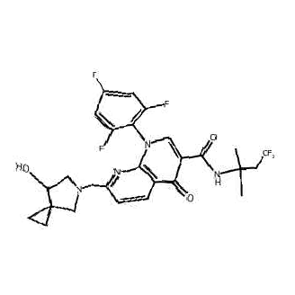 CC(C)(CC(F)(F)F)NC(=O)c1cn(-c2c(F)cc(F)cc2F)c2nc(N3CC(O)C4(CC4)C3)ccc2c1=O